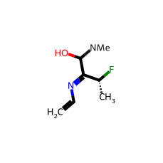 C=C/N=C(/C(O)NC)[C@@H](C)F